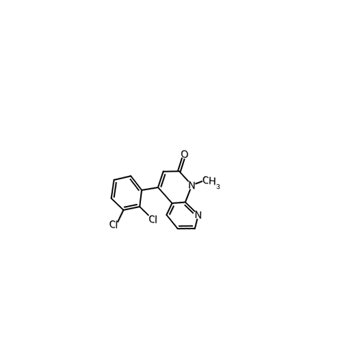 Cn1c(=O)cc(-c2cccc(Cl)c2Cl)c2cccnc21